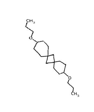 CCCOC1CCC2(CC1)CC1(CCC(OCCC)CC1)C2